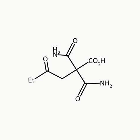 CCC(=O)CC(C(N)=O)(C(N)=O)C(=O)O